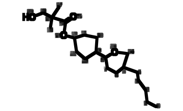 CCCCCC1CCC(C2CCC(OC(=O)C(C)(C)CO)CC2)OC1